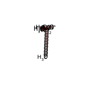 COCCOCCOCCOCCOCCOCCOCCOCCOCCOCCOCCOCCOCCOCCOCCOCCOCCc1cc(NC(=O)[C@H](C)NC(=O)[C@@H](OC(N)=O)C(C)C)ccc1COC(=O)Oc1ccc([N+](=O)[O-])cc1